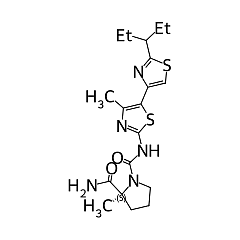 CCC(CC)c1nc(-c2sc(NC(=O)N3CCC[C@@]3(C)C(N)=O)nc2C)cs1